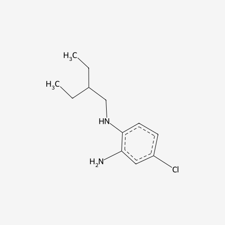 CCC(CC)CNc1ccc(Cl)cc1N